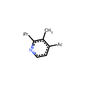 CC(=O)c1ccnc(C(C)C)c1C